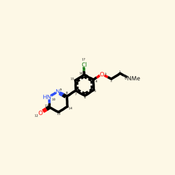 CNCCOc1ccc(C2=NNC(=O)CC2)cc1Cl